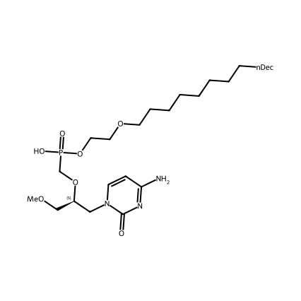 CCCCCCCCCCCCCCCCCCOCCOP(=O)(O)CO[C@H](COC)Cn1ccc(N)nc1=O